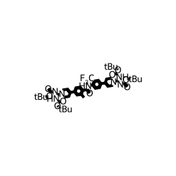 Cc1cc(C2=CCN(C(=NC(=O)OC(C)(C)C)NC(=O)OC(C)(C)C)CC2)ccc1C(=O)Nc1ccc(C2=CCN(C(=NC(=O)OC(C)(C)C)NC(=O)OC(C)(C)C)CC2)cc1C(F)(F)F